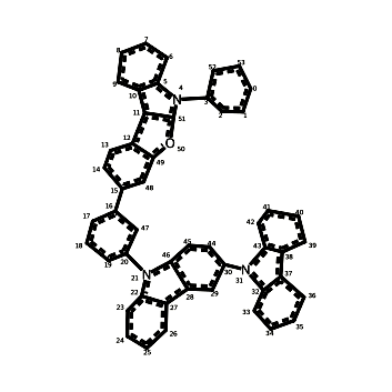 c1ccc(-n2c3ccccc3c3c4ccc(-c5cccc(-n6c7ccccc7c7cc(-n8c9ccccc9c9ccccc98)ccc76)c5)cc4oc32)cc1